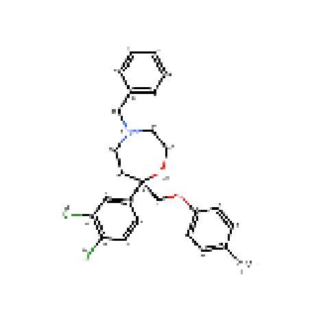 COc1ccc(OC[C@@]2(c3ccc(Cl)c(Cl)c3)CCN(Cc3ccccc3)CCO2)cc1